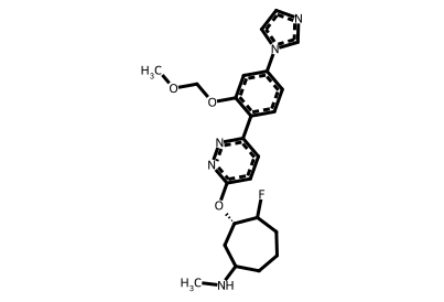 CNC1CCCC(F)[C@@H](Oc2ccc(-c3ccc(-n4ccnc4)cc3OCOC)nn2)C1